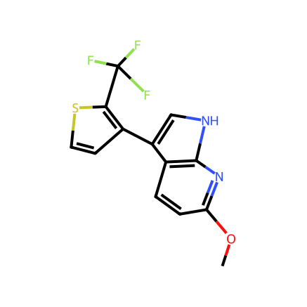 COc1ccc2c(-c3ccsc3C(F)(F)F)c[nH]c2n1